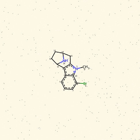 Cn1c2c(c3cccc(Br)c31)C1CCC(C2)N1